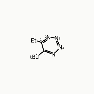 CCc1nnnnc1C(C)(C)C